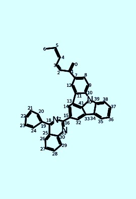 C=C(/C=C\C=C/C)c1ccc2c(c1)c1cc(-c3nc(-c4ccccc4)c4ccccc4n3)cc3c4ccccc4n2c31